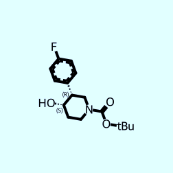 CC(C)(C)OC(=O)N1CC[C@H](O)[C@H](c2ccc(F)cc2)C1